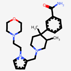 CC1CN(Cc2cccn2CCN2CCOCC2)CCC1(C)c1cccc(C(N)=O)c1